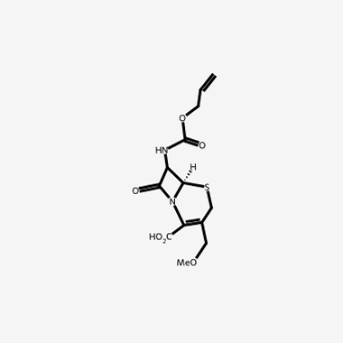 C=CCOC(=O)NC1C(=O)N2C(C(=O)O)=C(COC)CS[C@H]12